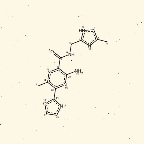 Cc1c[nH]c(CNC(=O)c2nc(C)c(-c3ncco3)nc2N)n1